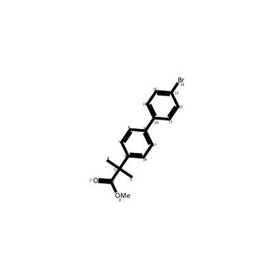 COC(=O)C(C)(C)c1ccc(-c2ccc(Br)cc2)cc1